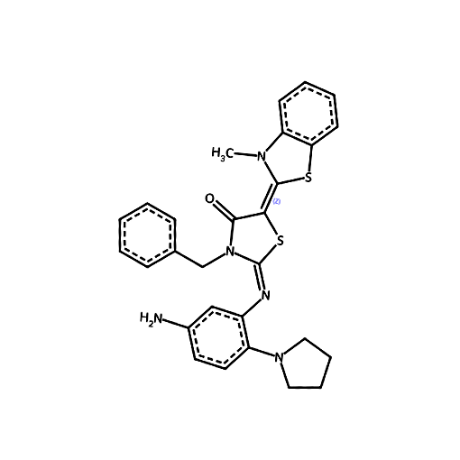 CN1/C(=C2/SC(=Nc3cc(N)ccc3N3CCCC3)N(Cc3ccccc3)C2=O)Sc2ccccc21